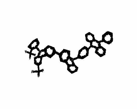 FC(F)(F)c1ccc2c(c1)c1cc(-c3ccc4c(c3)c3ccccc3n4-c3ccc(-c4c5ccccc5c(-c5ccccc5)c5ccccc45)cc3)ccc1n2-c1ccccc1C(F)(F)F